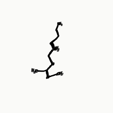 COC(C)OC[SiH2]CCCN